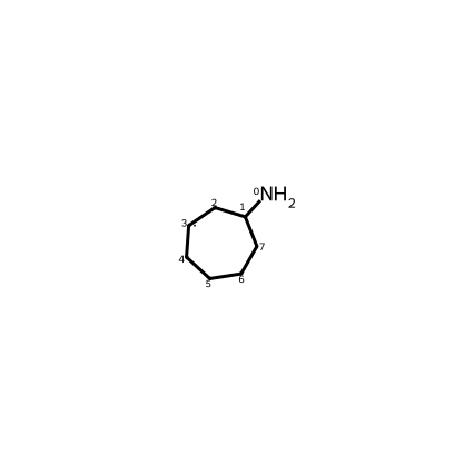 NC1C[CH]CCCC1